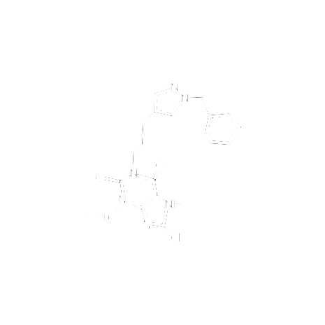 CCCCCn1c(=O)n(CCCc2cnn(Cc3ccccc3)c2)c(=O)c2[nH]c(Cl)nc21